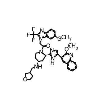 COc1ccc2nc(C(F)(F)F)n(CC(=O)N3CC[C@H](NCC4CCOC4)C[C@H]3c3ncc(-c4cc5ccccc5nc4OC)[nH]3)c2c1